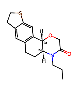 CCCN1C(=O)CO[C@H]2c3cc4c(cc3CC[C@@H]21)CCS4